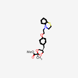 COC(=O)[C@]1(C)OC[C@@H](Cc2ccc(OCCN3CCSc4ccccc43)cc2)CO1